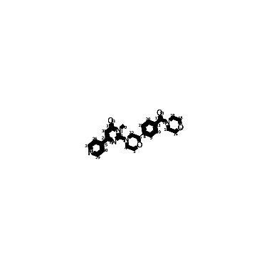 Cn1c(N2CCO[C@@H](c3ccc(C(=O)N4CCOCC4)cc3)C2)nc(-c2ccncc2)cc1=O